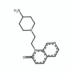 NC1CCN(CCn2c(=O)ccc3ccncc32)CC1